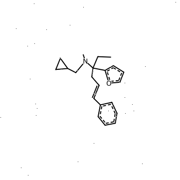 CCC(CC=Cc1ccccc1)(c1ccco1)N(C)CC1CC1